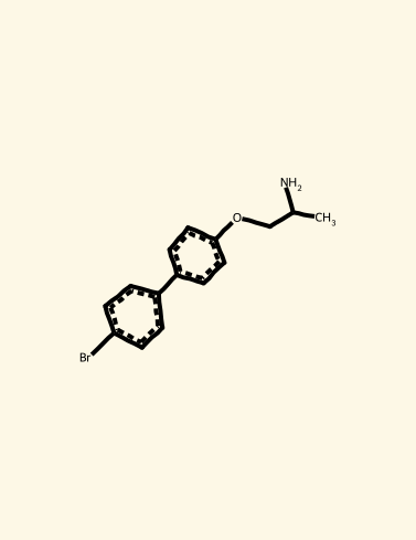 CC(N)COc1ccc(-c2ccc(Br)cc2)cc1